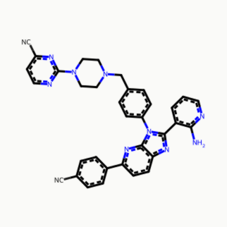 N#Cc1ccc(-c2ccc3nc(-c4cccnc4N)n(-c4ccc(CN5CCN(c6nccc(C#N)n6)CC5)cc4)c3n2)cc1